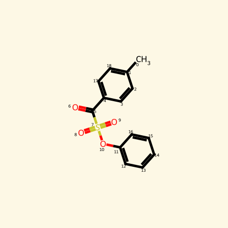 Cc1ccc(C(=O)S(=O)(=O)Oc2ccccc2)cc1